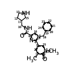 Cc1cc(-c2nc(C(=O)NCC3CCNC3)cn2Cc2ccccc2)cn(C)c1=O